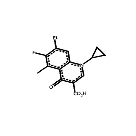 CCc1cc2c(c(C)c1F)c(=O)c(C(=O)O)cn2C1CC1